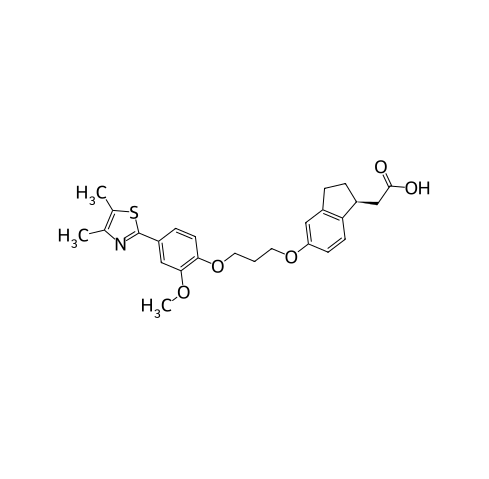 COc1cc(-c2nc(C)c(C)s2)ccc1OCCCOc1ccc2c(c1)CC[C@H]2CC(=O)O